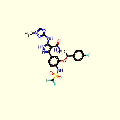 CC(Oc1cc(-c2n[nH]c(Nc3ncn(C)n3)c2C(N)=O)ccc1NS(=O)(=O)C(F)F)c1ccc(F)cc1